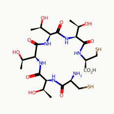 C[C@@H](O)[C@H](NC(=O)[C@@H](NC(=O)[C@@H](NC(=O)[C@@H](NC(=O)[C@@H](N)CS)[C@@H](C)O)[C@@H](C)O)[C@@H](C)O)C(=O)N[C@@H](CS)C(=O)O